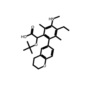 CCc1c(C)c(-c2ccc3c(c2)CCCO3)c(C(OC(C)(C)C)C(=O)O)c(C)c1NC